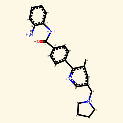 Cc1cc(CN2CCCC2)cnc1-c1ccc(C(=O)Nc2ccccc2N)cc1